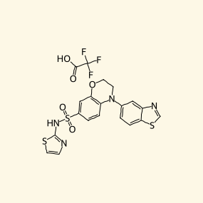 O=C(O)C(F)(F)F.O=S(=O)(Nc1nccs1)c1ccc2c(c1)OCCN2c1ccc2scnc2c1